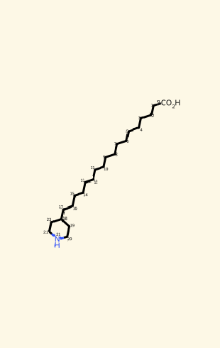 O=C(O)CCCCCCCCCCCCCCCCCC1CCNCC1